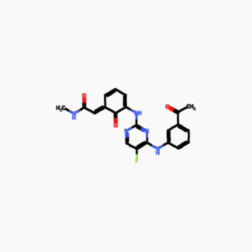 CNC(=O)C=C1C=CC=C(Nc2ncc(F)c(Nc3cccc(C(C)=O)c3)n2)C1=O